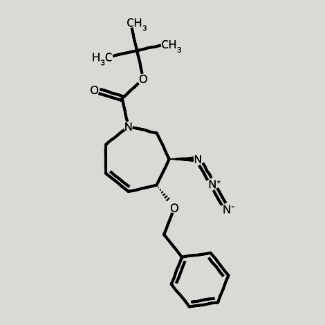 CC(C)(C)OC(=O)N1CC=C[C@@H](OCc2ccccc2)[C@H](N=[N+]=[N-])C1